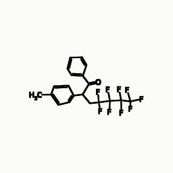 Cc1ccc(C(CC(F)(F)C(F)(F)C(F)(F)C(F)(F)F)C(=O)c2ccccc2)cc1